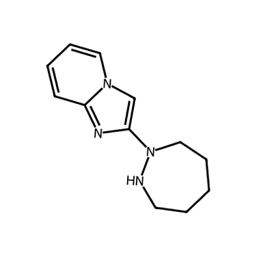 c1ccn2cc(N3CCCCCN3)nc2c1